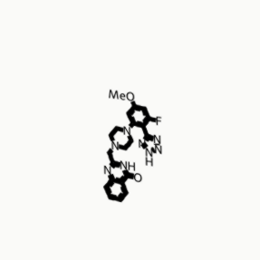 COc1cc(F)c(-c2nn[nH]n2)c(N2CCN(Cc3nc4ccccc4c(=O)[nH]3)CC2)c1